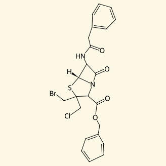 O=C(Cc1ccccc1)NC1C(=O)N2C(C(=O)OCc3ccccc3)C(CCl)(CBr)S[C@H]12